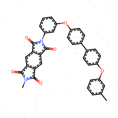 Cc1cccc(Oc2ccc(-c3ccc(Oc4cccc(-n5c(=O)c6cc7c(=O)n(C)c(=O)c7cc6c5=O)c4)cc3)cc2)c1